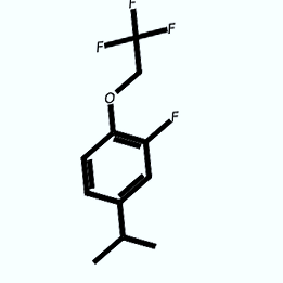 CC(C)c1ccc(OCC(F)(F)F)c(F)c1